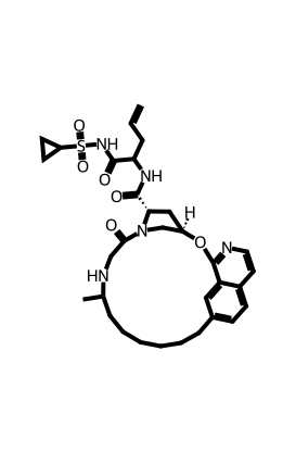 C=CCC(NC(=O)[C@@H]1C[C@@H]2CN1C(=O)CNC(C)CCCCCCc1ccc3ccnc(c3c1)O2)C(=O)NS(=O)(=O)C1CC1